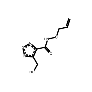 C=CCONC(=O)c1nonc1CO